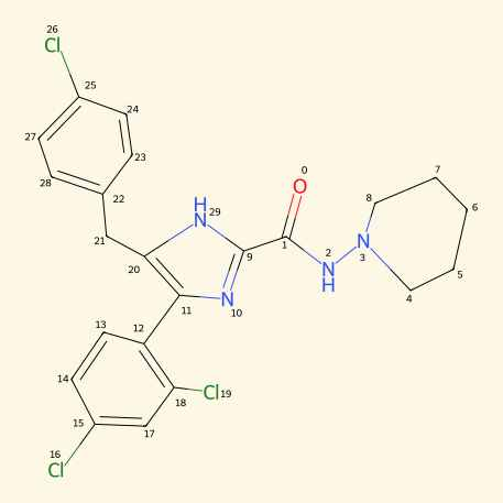 O=C(NN1CCCCC1)c1nc(-c2ccc(Cl)cc2Cl)c(Cc2ccc(Cl)cc2)[nH]1